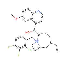 C=CC1CCC(C(O)c2ccnc3ccc(OC)cc23)[N+]2(Cc3ccc(F)c(F)c3F)CCC2C1